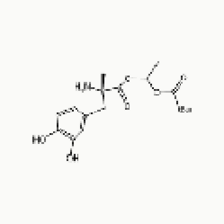 CC(OC(=O)C(C)(C)C)OC(=O)[C@@](C)(N)Cc1ccc(O)c(O)c1